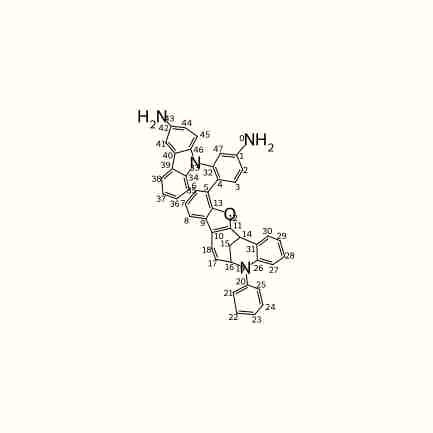 Nc1ccc(-c2cccc3c4c(oc23)C2CC(C=C4)N(c3ccccc3)c3ccccc32)c(-n2c3ccccc3c3cc(N)ccc32)c1